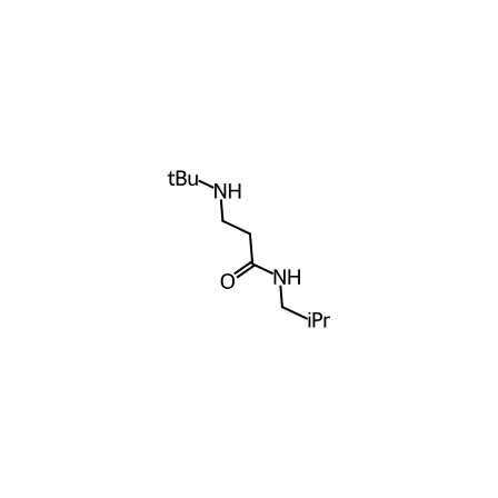 CC(C)CNC(=O)CCNC(C)(C)C